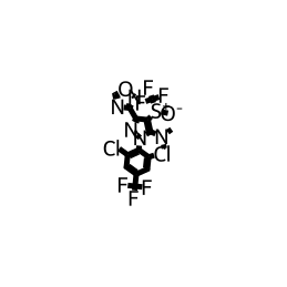 CN(C)c1c([S+]([O-])C(F)(F)F)c(-c2ncon2)nn1-c1c(Cl)cc(C(F)(F)F)cc1Cl